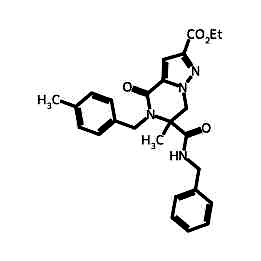 CCOC(=O)c1cc2n(n1)CC(C)(C(=O)NCc1ccccc1)N(Cc1ccc(C)cc1)C2=O